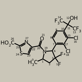 CC1CC(F)(F)C(c2ccc(C(O)(C(F)(F)F)C(F)(F)F)c(Cl)c2Cl)N1C(=O)c1csc(C(=O)O)n1